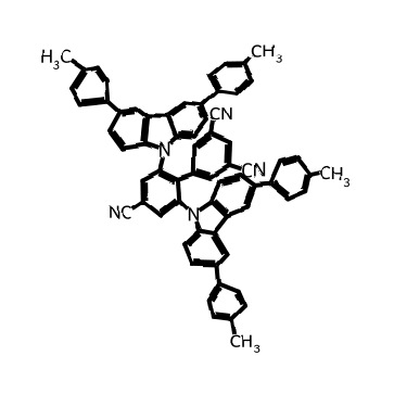 Cc1ccc(-c2ccc3c(c2)c2cc(-c4ccc(C)cc4)ccc2n3-c2cc(C#N)cc(-n3c4ccc(-c5ccc(C)cc5)cc4c4cc(-c5ccc(C)cc5)ccc43)c2-c2cc(C#N)cc(C#N)c2)cc1